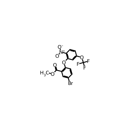 COC(=O)c1cc(Br)ccc1Oc1cc(OC(F)(F)F)ccc1[N+](=O)[O-]